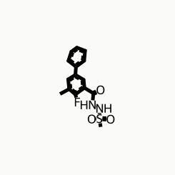 Cc1cc(-c2ccccc2)cc(C(=O)NNS(C)(=O)=O)c1F